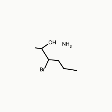 CCCC(Br)C(C)O.N